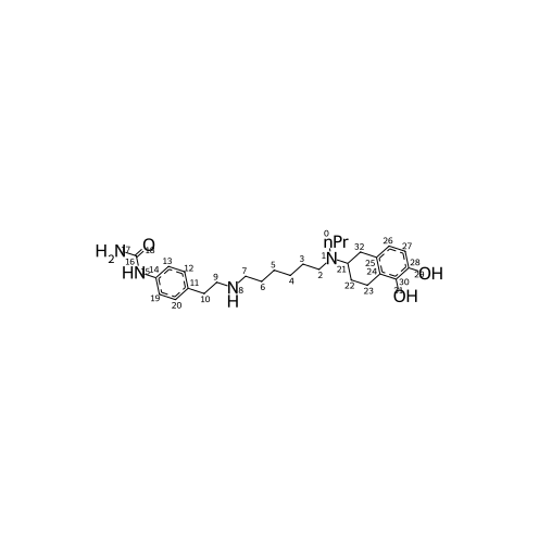 CCCN(CCCCCCNCCc1ccc(NC(N)=O)cc1)C1CCc2c(ccc(O)c2O)C1